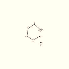 C1CCNCC1.[C]